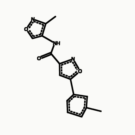 Cc1cccc(-c2cc(C(=O)Nc3conc3C)no2)c1